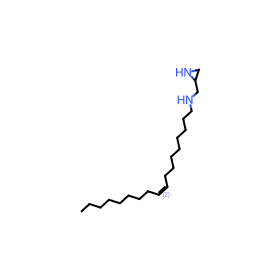 CCCCCCCC/C=C\CCCCCCCCNCC1CN1